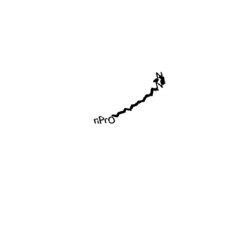 CCCOCCCCCCCCCCCCCCn1ccnc1